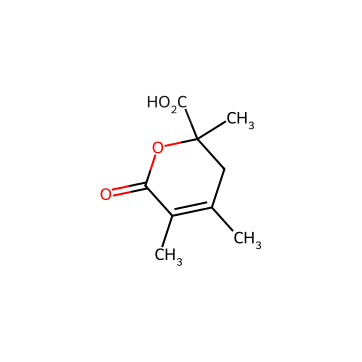 CC1=C(C)C(=O)OC(C)(C(=O)O)C1